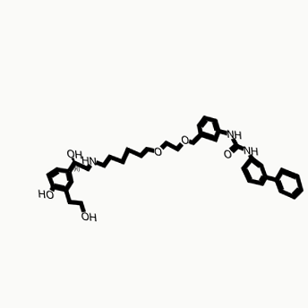 O=C(Nc1cccc(COCCOCCCCCCNC[C@H](O)c2ccc(O)c(CCO)c2)c1)Nc1cccc(-c2ccccc2)c1